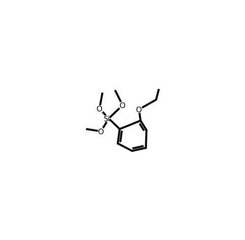 CCOc1ccccc1[Si](OC)(OC)OC